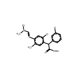 CCN(C)C=Nc1cc(Cl)c(C(C(=O)OC)c2cccc(Cl)c2)cc1C